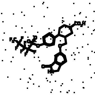 O=C1NCc2ccc(OCC3CN(C(=O)O)CCC3c3ccc(OS(=O)(=O)C(F)(F)C(F)(F)C(F)(F)C(F)(F)F)cc3)cc21